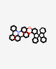 C1=CC2=C(CC1)C1(c3ccccc32)c2ccccc2-c2c1ccc1c2Oc2cc(N(c3ccccc3-c3ccccc3)c3ccccc3-c3ccccc3)ccc2O1